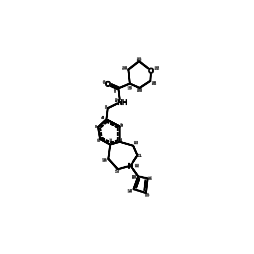 O=C(NCc1ccc2c(c1)CCN(C1=CC=C1)CC2)C1CCOCC1